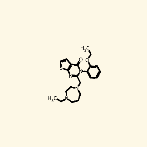 CCOc1ccccc1-n1c(CN2CCCN(CC)CC2)nc2sccc2c1=O